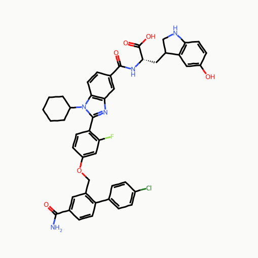 NC(=O)c1ccc(-c2ccc(Cl)cc2)c(COc2ccc(-c3nc4cc(C(=O)N[C@@H](CC5CNc6ccc(O)cc65)C(=O)O)ccc4n3C3CCCCC3)c(F)c2)c1